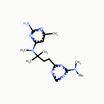 Cc1cc(N(C)C(C)(C)CCc2ncnc(N(C)C(C)(C)C)n2)nc(N)n1